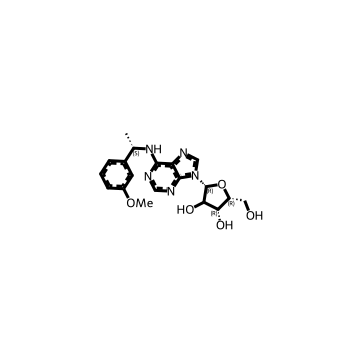 COc1cccc([C@H](C)Nc2ncnc3c2ncn3[C@@H]2O[C@H](CO)[C@H](O)C2O)c1